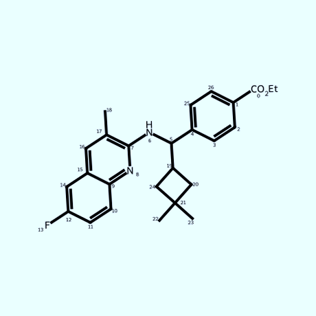 CCOC(=O)c1ccc(C(Nc2nc3ccc(F)cc3cc2C)C2CC(C)(C)C2)cc1